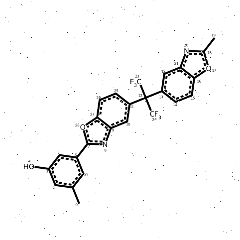 Cc1cc(O)cc(-c2nc3cc(C(c4ccc5oc(C)nc5c4)(C(F)(F)F)C(F)(F)F)ccc3o2)c1